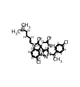 C[C@@H](c1ccc(Cl)cc1)n1nnc2c1NC(=O)C[C@]21C(=O)N(CCCCN(C)C)c2ccc(Cl)cc21